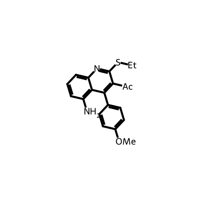 CCSc1nc2cccc(N)c2c(-c2ccc(OC)cc2)c1C(C)=O